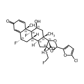 C[C@]12C=CC(=O)C=C1[C@@H](F)C[C@H]1[C@@H]3C[C@H]4OC(c5ccc(Cl)o5)O[C@@]4(C(=O)SCF)[C@@]3(C)C[C@H](O)[C@@]12F